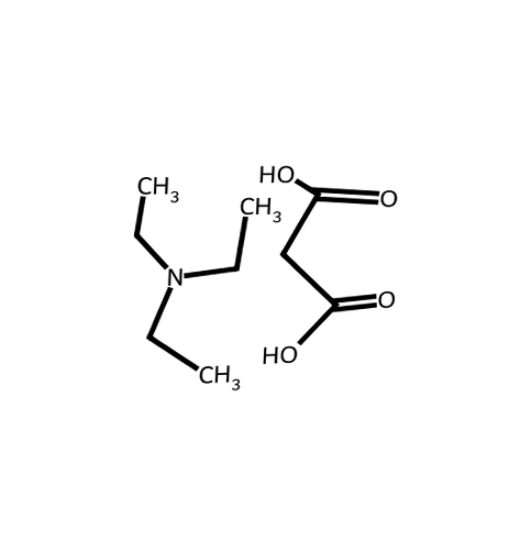 CCN(CC)CC.O=C(O)CC(=O)O